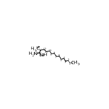 CCCCCCCCCCCCCC(C)C(=N)N